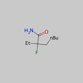 CCCCCC(F)(CC)C(N)=O